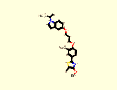 CCOc1nc(-c2ccc(OCCCOc3ccc4c(ccn4C(C)C(=O)O)c3)c(OC)c2)sc1C